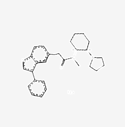 CN(C(=O)Cc1ccc2scc(-c3ccccc3)c2c1)[C@@H]1CCCC[C@H]1N1CCCC1.Cl